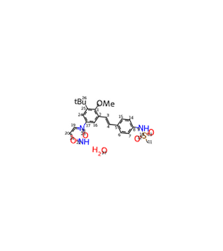 COc1c(/C=C/c2ccc(NS(C)(=O)=O)cc2)cc(-n2cco[nH]o2)cc1C(C)(C)C.O